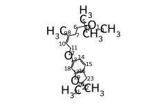 CCOC(C)(C)CCC(C)=CCOc1ccc2c(c1)OC(C)(C)C2